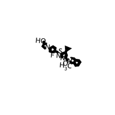 CC1c2ccccc2CCN1C(=O)c1cc(C2CC2)c2sc(-c3ccc(N4CCC(O)C4)cc3F)nc2n1